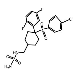 NS(=O)(=O)NCC1CCC(c2cc(F)ccc2F)(S(=O)(=O)c2ccc(Cl)cc2)CC1